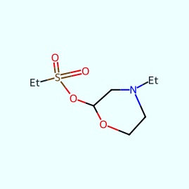 CCN1CCOC(OS(=O)(=O)CC)C1